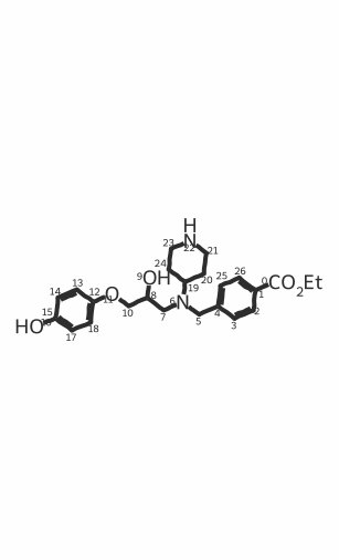 CCOC(=O)c1ccc(CN(CC(O)COc2ccc(O)cc2)C2CCNCC2)cc1